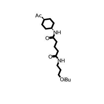 CC(=O)[C@H]1CC[C@H](NC(=O)CCCC(=O)NCCCOCC(C)C)CC1